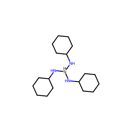 C1CCC(N[SiH](NC2CCCCC2)NC2CCCCC2)CC1